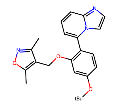 Cc1noc(C)c1COc1cc(OC(C)(C)C)ccc1-c1cccc2nccn12